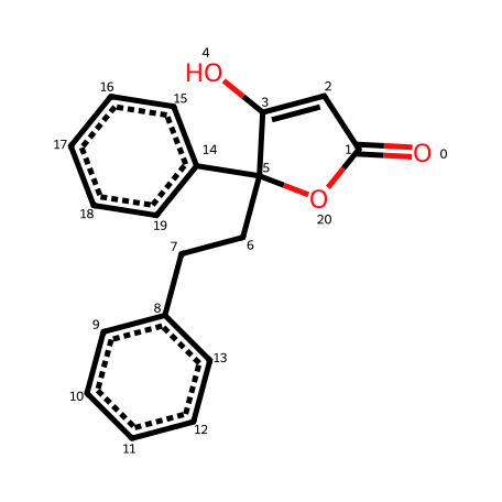 O=C1C=C(O)C(CCc2ccccc2)(c2ccccc2)O1